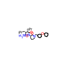 CCC[C@@H](C(=O)N[C@H]1CCCCN(Cc2cccc(Oc3ccccc3)c2)C1=O)[C@H](CC(C)C)C(N)=O